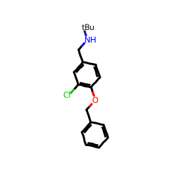 CC(C)(C)NCc1ccc(OCc2ccccc2)c(Cl)c1